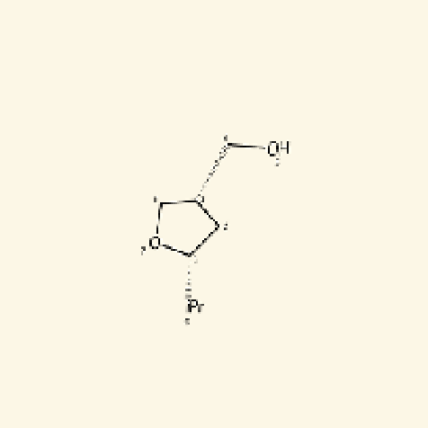 CC(C)[C@H]1C[C@@H](CO)CO1